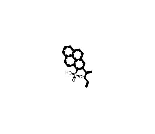 C=CCC(=C)c1cc2ccc3cccc4ccc(c1P(=O)(O)O)c2c34